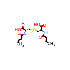 CCCC(=O)N[C@@H](CSSC[C@H](NC(=O)CCC)C(=O)O)C(=O)O